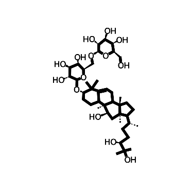 C[C@H](CC[C@@H](O)C(C)(C)O)C1CC[C@@]2(C)C3CC=C4C(CC[C@H](OC5O[C@H](CO[C@@H]6O[C@H](CO)[C@@H](O)[C@H](O)[C@H]6O)[C@@H](O)[C@H](O)[C@H]5O)C4(C)C)[C@]3(C)[C@H](O)C[C@]12C